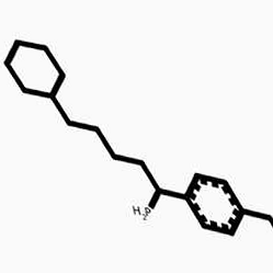 NCc1ccc(C(P)CCCC[C]2CCCCC2)cc1